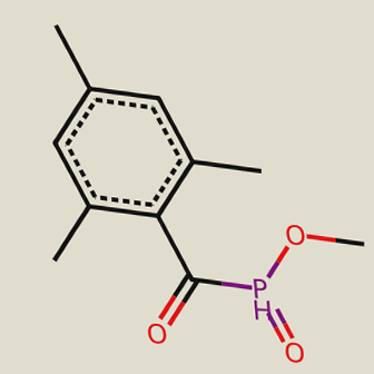 CO[PH](=O)C(=O)c1c(C)cc(C)cc1C